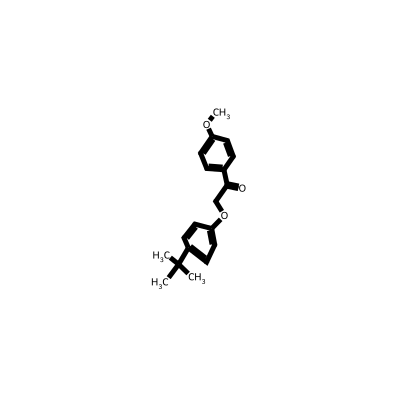 COc1ccc(C(=O)COc2ccc(C(C)(C)C)cc2)cc1